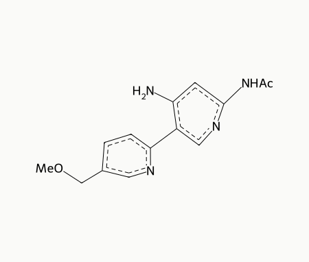 COCc1ccc(-c2cnc(NC(C)=O)cc2N)nc1